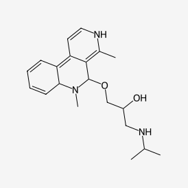 CC1=C2C(=C3C=CC=CC3N(C)C2OCC(O)CNC(C)C)C=CN1